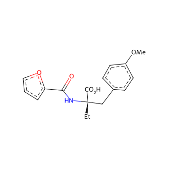 CC[C@@](Cc1ccc(OC)cc1)(NC(=O)c1ccco1)C(=O)O